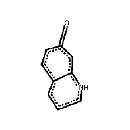 O=c1ccc2ccc[nH]c-2c1